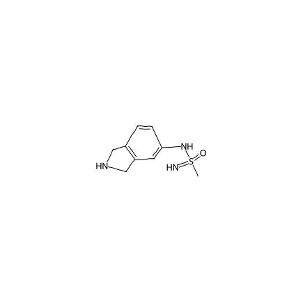 CS(=N)(=O)Nc1ccc2c(c1)CNC2